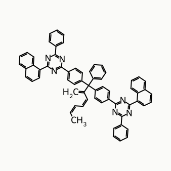 C=C(/C=C\C=C/C)C(c1ccccc1)(c1ccc(-c2nc(-c3ccccc3)nc(-c3cccc4ccccc34)n2)cc1)c1ccc(-c2nc(-c3ccccc3)nc(-c3cccc4ccccc34)n2)cc1